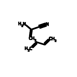 C=C(N)C#N.C=CC=C